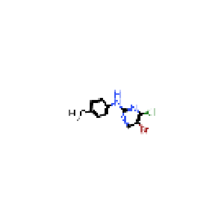 Cc1ccc(Nc2ncc(Br)c(Cl)n2)cc1